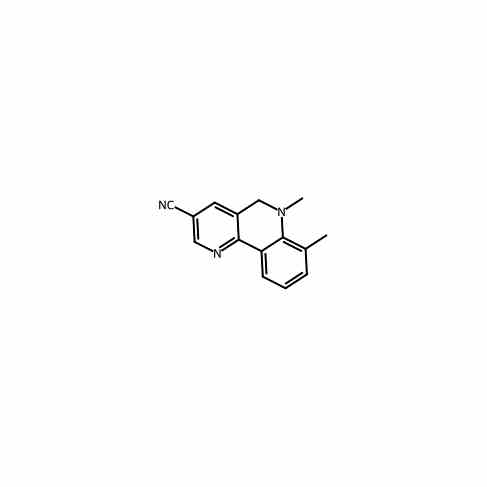 Cc1cccc2c1N(C)Cc1cc(C#N)cnc1-2